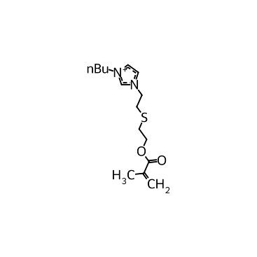 C=C(C)C(=O)OCCSCCn1cc[n+](CCCC)c1